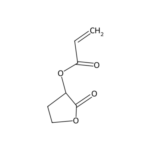 C=CC(=O)OC1CCOC1=O